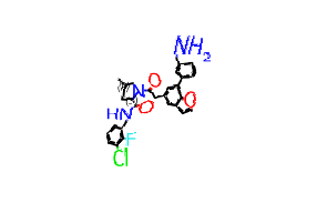 C[C@@H]1C[C@@H](C(=O)NCc2cccc(Cl)c2F)N(C(=O)Cc2cc(-c3cccc(CN)c3)c3occc3c2)C1